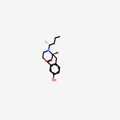 CCC[C@@H](C)N1CC[C@]23CCCCC2[C@H]1Cc1ccc(O)cc13